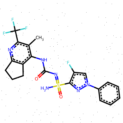 Cc1c(C(F)(F)F)nc2c(c1NC(=O)N=S(N)(=O)c1nn(-c3ccccc3)cc1F)CCC2